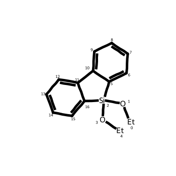 CCO[Si]1(OCC)c2ccccc2-c2ccccc21